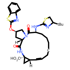 CC(C)(C)C1CSC(N[C@H]2CCCCC/C=C\[C@@H]3C[C@@]3(C(=O)O)NC(=O)[C@@H]3C[C@@H](Oc4nc5ccccc5s4)CN3C2=O)=N1